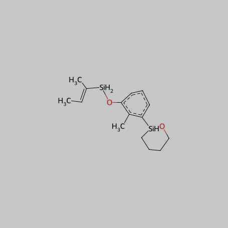 CC=C(C)[SiH2]Oc1cccc([SiH]2CCCCO2)c1C